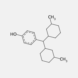 CC1CCCC(C(c2ccc(O)cc2)C2CCCC(C)C2)C1